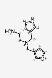 NCCN(Cc1ccoc1)Cc1ccoc1